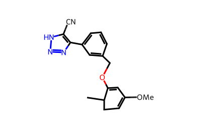 COC1=CCC(C)C(OCc2cccc(-c3nn[nH]c3C#N)c2)=C1